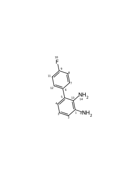 Nc1cccc(-c2ccc(F)cc2)c1N